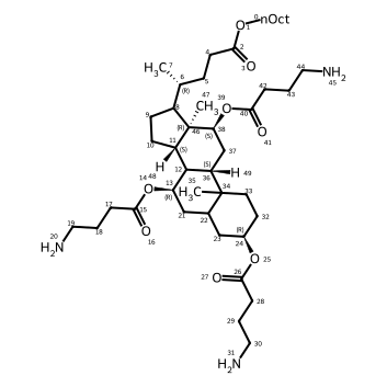 CCCCCCCCOC(=O)CC[C@@H](C)C1CC[C@H]2C3[C@H](OC(=O)CCCN)CC4C[C@H](OC(=O)CCCN)CCC4(C)[C@H]3C[C@H](OC(=O)CCCN)[C@]12C